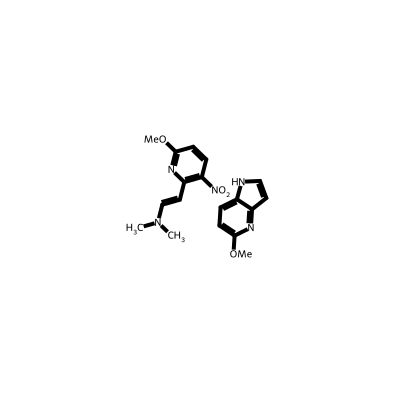 COc1ccc([N+](=O)[O-])c(C=CN(C)C)n1.COc1ccc2[nH]ccc2n1